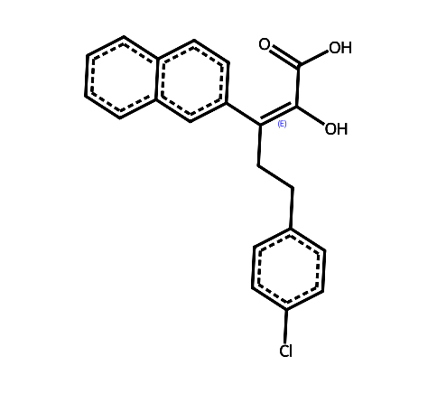 O=C(O)/C(O)=C(/CCc1ccc(Cl)cc1)c1ccc2ccccc2c1